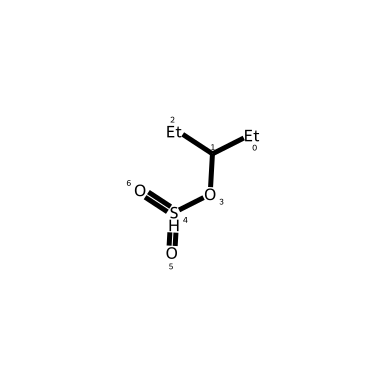 CCC(CC)O[SH](=O)=O